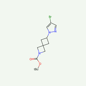 CC(C)(C)OC(=O)N1CC2(CC(n3cc(Br)cn3)C2)C1